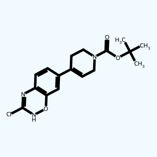 CC(C)(C)OC(=O)N1CC=C(c2ccc3c(c2)ONC(Cl)=N3)CC1